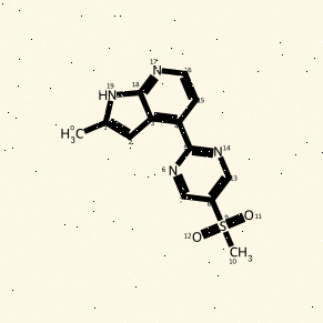 Cc1cc2c(-c3ncc(S(C)(=O)=O)cn3)ccnc2[nH]1